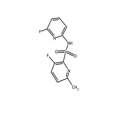 Cc1ccc(F)c(S(=O)(=O)Nc2cccc(F)n2)n1